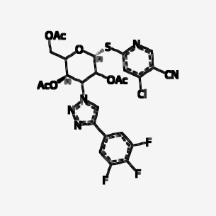 CC(=O)OCC1O[C@H](Sc2cc(Cl)c(C#N)cn2)C(OC(C)=O)C(n2cc(-c3cc(F)c(F)c(F)c3)nn2)[C@H]1OC(C)=O